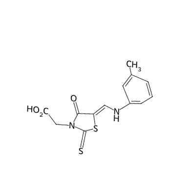 Cc1cccc(NC=C2SC(=S)N(CC(=O)O)C2=O)c1